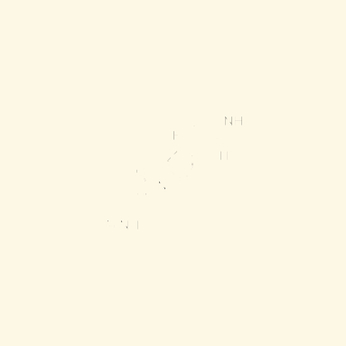 CC(=O)NC[C@H]1CN(c2ccc(C3[C@H]4CNC[C@@H]34)c(F)c2)C(=O)O1